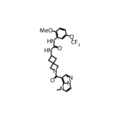 COc1ccc(OC(F)(F)F)cc1NC(=O)NC1CC2(C1)CN(C(=O)c1cnn3ccn(C)c13)C2